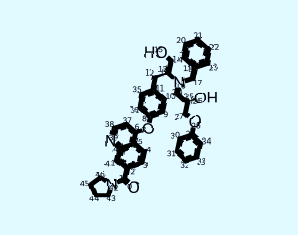 O=C(c1ccc2c(Oc3ccc(C[C@@H](CO)N(Cc4ccccc4)C[C@H](O)COc4ccccc4)cc3)ccnc2c1)N1CCCC1